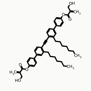 C=C(CO)C(=O)Oc1ccc(-c2ccc(C#Cc3ccc(-c4ccc(OC(=O)C(=C)CO)cc4)cc3CCCCCCC)c(CCCCCCC)c2)cc1